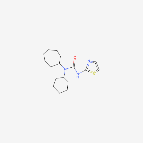 O=C(Nc1nccs1)N(C1CCCCCC1)C1CCCCC1